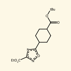 CCOC(=O)c1noc(C2CCC(C(=O)OC(C)(C)C)CC2)n1